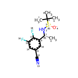 C[C@@H](N[S@@+]([O-])C(C)(C)C)c1cc(C#N)cc(F)c1F